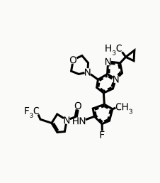 Cc1cc(F)c(NC(=O)N2CC=C(CC(F)(F)F)C2)cc1-c1cc(N2CCOCC2)c2nc(C3(C)CC3)cn2c1